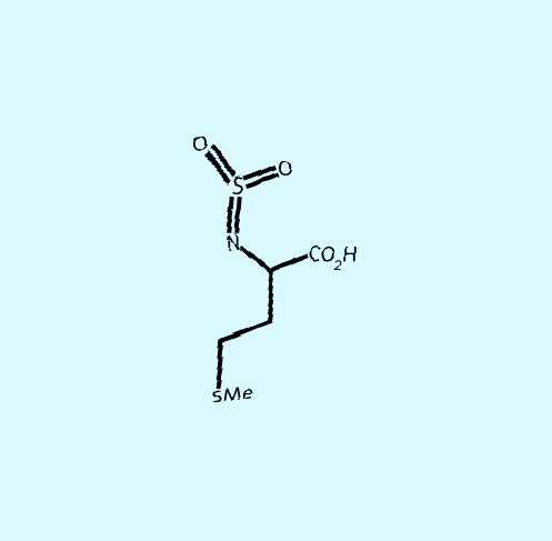 CSCCC(N=S(=O)=O)C(=O)O